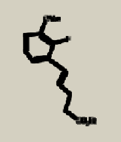 CCOC(=O)CC/C=C/c1cccc(OC)c1F